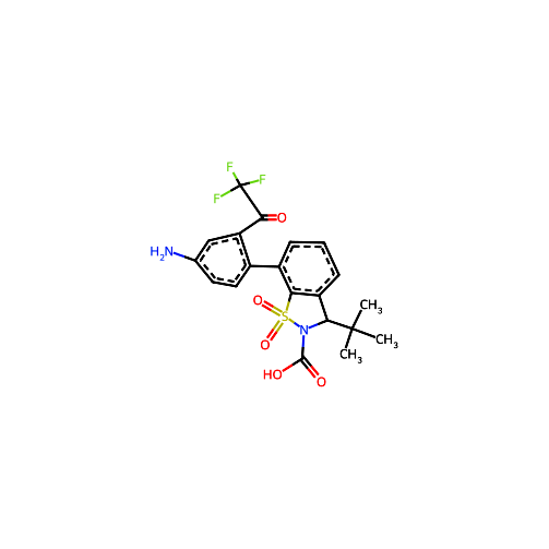 CC(C)(C)C1c2cccc(-c3ccc(N)cc3C(=O)C(F)(F)F)c2S(=O)(=O)N1C(=O)O